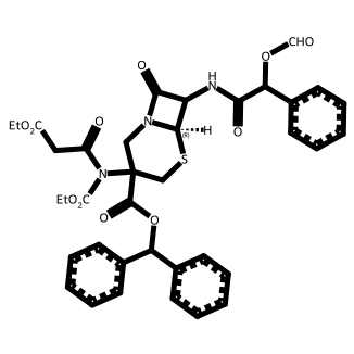 CCOC(=O)CC(=O)N(C(=O)OCC)C1(C(=O)OC(c2ccccc2)c2ccccc2)CS[C@@H]2C(NC(=O)C(OC=O)c3ccccc3)C(=O)N2C1